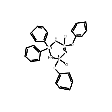 ClP1(Oc2ccccc2)=N[PH](Cl)(Oc2ccccc2)N[PH](c2ccccc2)(c2ccccc2)N1